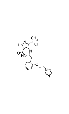 CC(C)c1n[nH]c2c(=O)[nH]c(Cc3ccccc3OCCn3ccnc3)nc12